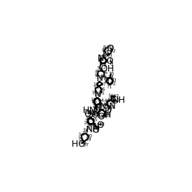 COc1cc(C[C@]2(O)CCN(C3CC4(CCN(c5ccc(C(=O)NS(=O)(=O)c6ccc(NC[C@H]7CC[C@](C)(O)CC7)c([N+](=O)[O-])c6)c(N6c7cc8cc[nH]c8nc7O[C@H]7COCC[C@@H]76)c5)CC4)C3)[C@H](c3ccccc3C)C2)cnc1N1CCOCC1